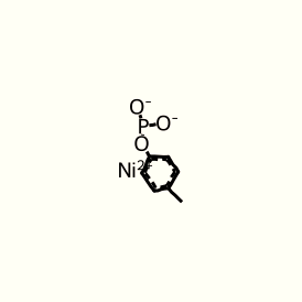 Cc1ccc(OP([O-])[O-])cc1.[Ni+2]